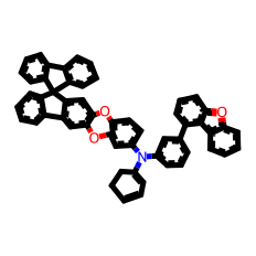 C1=CCCC(N(c2cccc(-c3cccc4oc5ccccc5c34)c2)c2ccc3c(c2)Oc2cc4c(cc2O3)C2(c3ccccc3-c3ccccc32)c2ccccc2-4)=C1